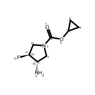 N[C@H]1CN(C(=O)OC2CC2)C[C@@H]1F